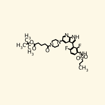 CCCS(=O)(=O)Nc1ccc(F)c(-c2c[nH]c3ncc(N4CCN(C(=O)CCCC(=O)OC(C)(C)C)CC4)cc23)c1F